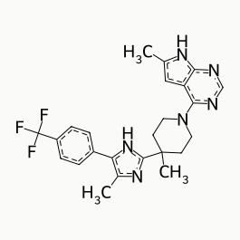 Cc1cc2c(N3CCC(C)(c4nc(C)c(-c5ccc(C(F)(F)F)cc5)[nH]4)CC3)ncnc2[nH]1